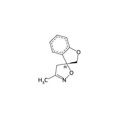 CC1=NO[C@]2(COc3ccccc32)C1